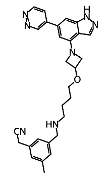 Cc1cc(CC#N)cc(CNCCCCOC2CN(c3cc(-c4ccnnc4)cc4[nH]ncc34)C2)c1